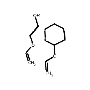 C=COC1CCCCC1.C=COCCO